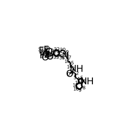 O=C(C=Cc1c[nH]c2ccccc12)NCCCCN1CCc2ccc(OS(=O)(=O)C(F)(F)F)cc2C1